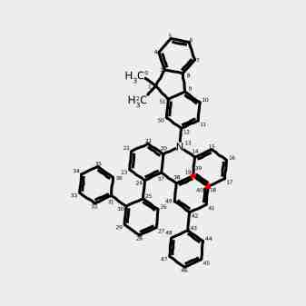 CC1(C)c2ccccc2-c2ccc(N(c3ccccc3)c3cccc(-c4ccccc4-c4ccccc4)c3-c3cccc(-c4ccccc4)c3)cc21